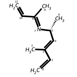 C=C/C(C)=C/[C@@H](C)/N=C(\C)C=C